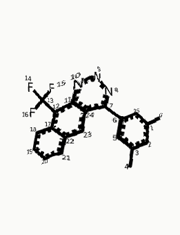 Cc1cc(C)cc(-c2nnnc3c(C(F)(F)F)c4ccccc4cc23)c1